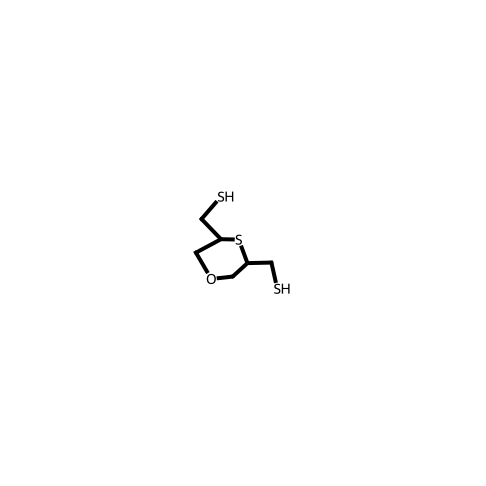 SCC1COCC(CS)S1